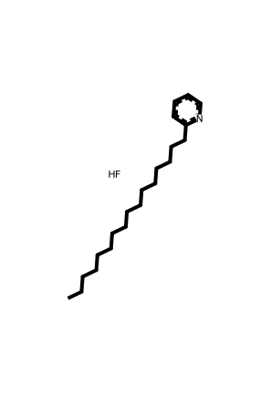 CCCCCCCCCCCCCCCCc1ccccn1.F